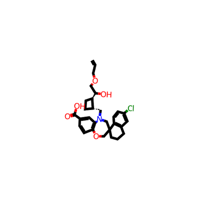 C=CCOCC(O)[C@@H]1CC[C@H]1CN1CC2(CCCc3cc(Cl)ccc32)COc2ccc(C(=O)O)cc21